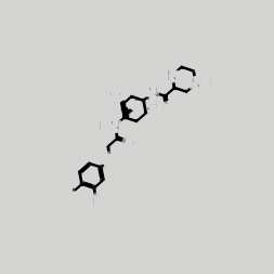 O=C(COc1ccc(Cl)c(F)c1)NC12CCC(NC(=O)C3CNCCN3)(CC1)C[C@@H]2O